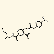 CCCC(C)CNC(=O)c1ccc(COC(=O)Oc2ccc([N+](=O)[O-])cc2)c([N+](=O)[O-])c1